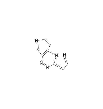 c1cc2c(cn1)nnc1ccnn12